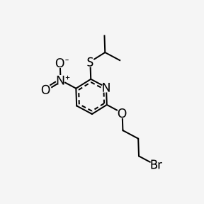 CC(C)Sc1nc(OCCCBr)ccc1[N+](=O)[O-]